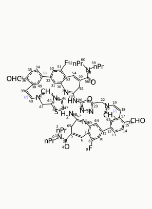 CCCN(CCC)C(=O)C1=Cc2c(F)cc(-c3ccc(C=O)c(/C=C\N(C)Cc4nnc(NC5=Nc6cc(-c7ccc(C=O)c(/C=C\N(C)Cc8nccs8)c7)cc(F)c6C=C(C(=O)N(CCC)CCC)C5)o4)c3)cc2N=C(N)C1